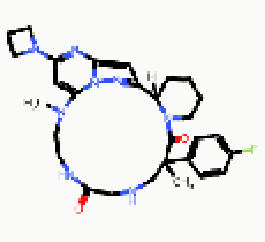 CN1CCNC(=O)CNCC(C)(c2ccc(F)cc2)C(=O)N2CCCC[C@H]2c2cc3nc(N4CCC4)cc1n3n2